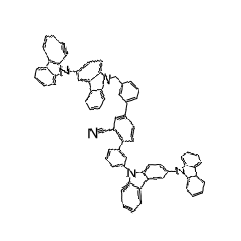 N#Cc1cc(-c2cccc(Cn3c4ccccc4c4cc(-n5c6c(c7ccccc75)C=CCC=C6)ccc43)c2)ccc1-c1cccc(-n2c3ccccc3c3cc(-n4c5ccccc5c5ccccc54)ccc32)c1